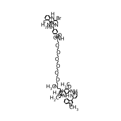 C=CC(=O)Nc1cc(Nc2nccc(-c3cn(C)c4ccccc34)n2)c(OC)cc1N(C)CCN(C)CCOCCOCCOCCOCCOCCOCCNS(=O)(=O)c1ccc(Nc2ncc(Br)c(Nc3cccc(F)c3C(N)=O)n2)cc1